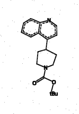 CC(C)(C)OC(=O)N1CCC(c2ccnc3ccccc23)CC1